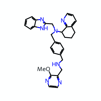 COc1nccnc1CNCc1ccc(CN(Cc2nc3ccccc3[nH]2)C2CCCc3cccnc32)cc1